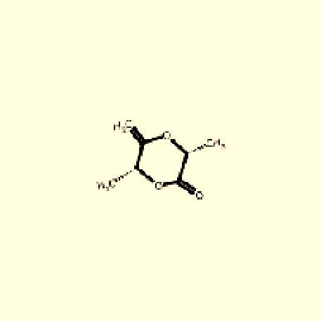 C=C1O[C@H](C)C(=O)O[C@@H]1C